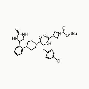 CC(C)(C)OC(=O)N1CC(C(=O)N[C@H](Cc2ccc(Cl)cc2)C(=O)N2CCC(c3ccccc3C3CNC(=O)N3)CC2)C1